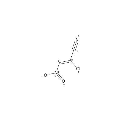 N#CC(Cl)=C[N+](=O)[O-]